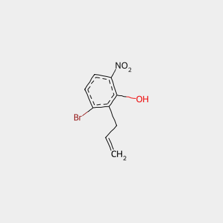 C=CCc1c(Br)ccc([N+](=O)[O-])c1O